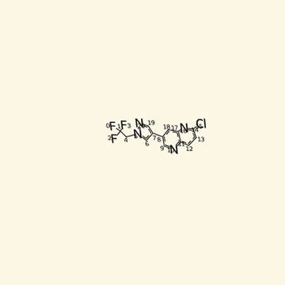 FC(F)(F)Cn1cc(-c2cnc3ccc(Cl)nc3c2)cn1